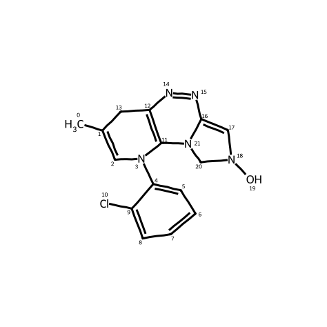 CC1=CN(c2ccccc2Cl)C2=C(C1)N=NC1=CN(O)CN12